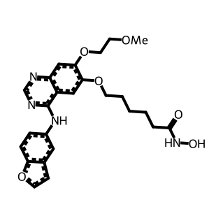 COCCOc1cc2ncnc(Nc3ccc4occc4c3)c2cc1OCCCCCC(=O)NO